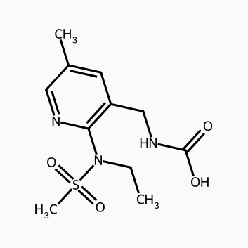 CCN(c1ncc(C)cc1CNC(=O)O)S(C)(=O)=O